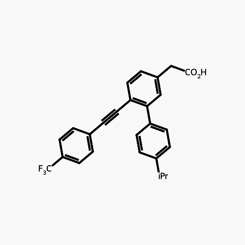 CC(C)c1ccc(-c2cc(CC(=O)O)ccc2C#Cc2ccc(C(F)(F)F)cc2)cc1